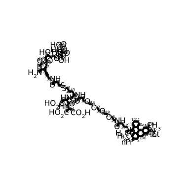 CCCc1cc2c(cc1C)C(c1ccccc1C(=O)N(C)CCCC(=O)NCCOCCOCCOCCOCCC(=O)NC(CCCSSCCC(=O)NCC#Cc1cn([C@H]3C[C@@H](O)[C@@H](COP(=O)(O)OP(=O)(O)OP(=O)(O)O)O3)c(=O)nc1N)C(=O)NC(CC(=O)O)C(=O)NC(CC(=O)O)C(=O)O)C1C=C(C)/C(=N/CC)C=C1C2